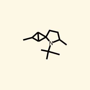 CC1C2C1C21CCC(C)N1C(C)(C)C